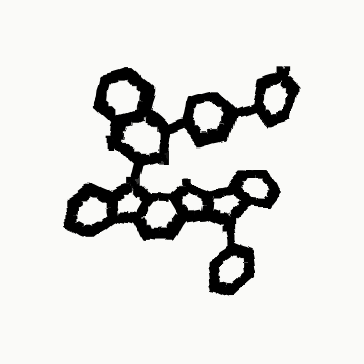 c1ccc(-n2c3ccccc3c3sc4c(ccc5c6ccccc6n(-c6nc(-c7ccc(-c8cccnc8)cc7)c7ccccc7n6)c54)c32)cc1